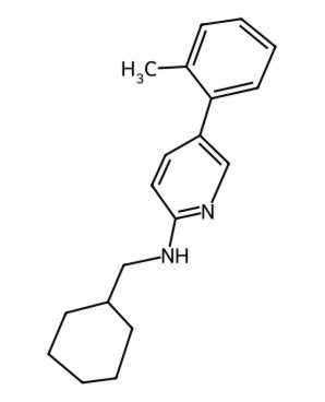 Cc1ccccc1-c1ccc(NCC2CCCCC2)nc1